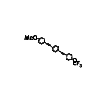 COc1ccc(C#Cc2ccc(C#Cc3ccc(OC(F)(F)F)cc3)cc2)cc1